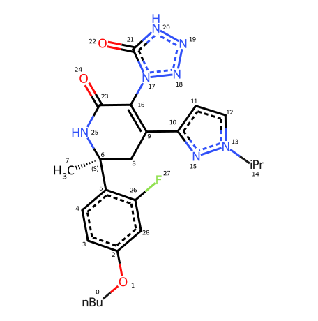 CCCCOc1ccc([C@]2(C)CC(c3ccn(C(C)C)n3)=C(n3nn[nH]c3=O)C(=O)N2)c(F)c1